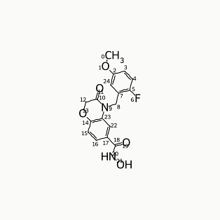 COc1ccc(F)c(CN2C(=O)COc3ccc(C(=O)NO)cc32)c1